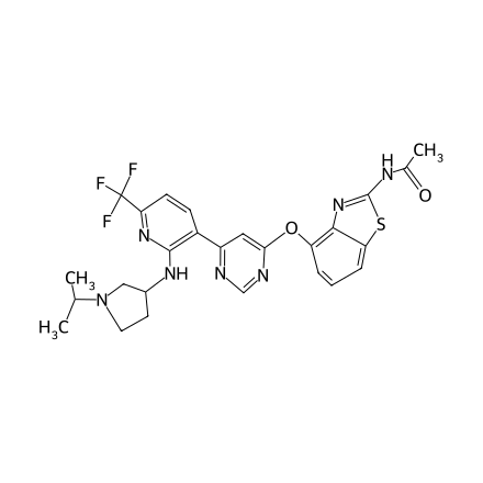 CC(=O)Nc1nc2c(Oc3cc(-c4ccc(C(F)(F)F)nc4NC4CCN(C(C)C)C4)ncn3)cccc2s1